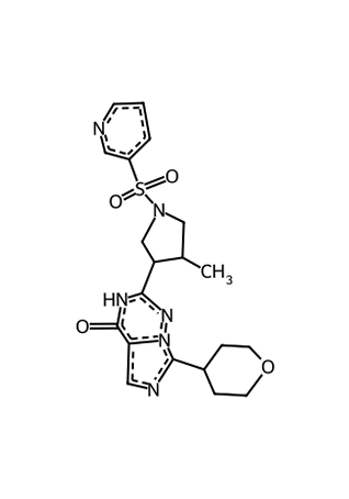 CC1CN(S(=O)(=O)c2cccnc2)CC1c1nn2c(C3CCOCC3)ncc2c(=O)[nH]1